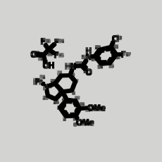 COc1ccc(C23CCC(NC(=O)Nc4ccc(F)c(Cl)c4)CC2N(C(C)C)CC3)cc1OC.O=C(O)C(F)(F)F